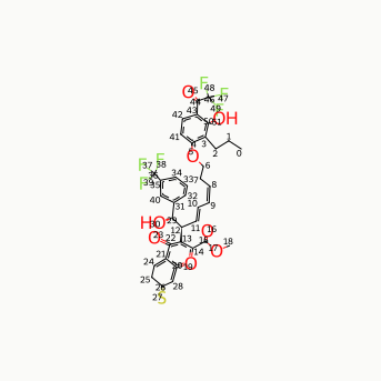 CCCc1c(OCC/C=C\C=C\[C@@H](c2c(C(=O)OC)oc3c(c2=O)=CCC(=S)C=3)[C@@H](O)c2cccc(C(F)(F)F)c2)ccc(C(=O)C(F)(F)F)c1O